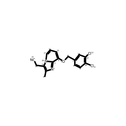 Cc1nc2c(OCc3ccc(Cl)c(Cl)c3)cccn2c1CC#N